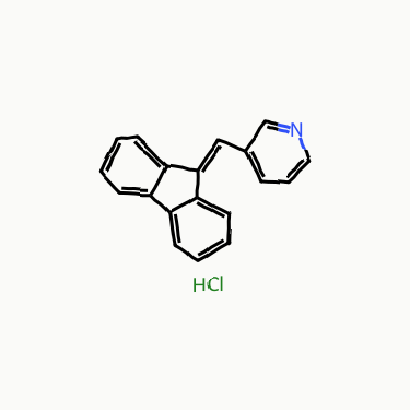 C(=C1c2ccccc2-c2ccccc21)c1cccnc1.Cl